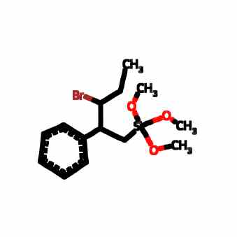 CCC(Br)C(C[Si](OC)(OC)OC)c1ccccc1